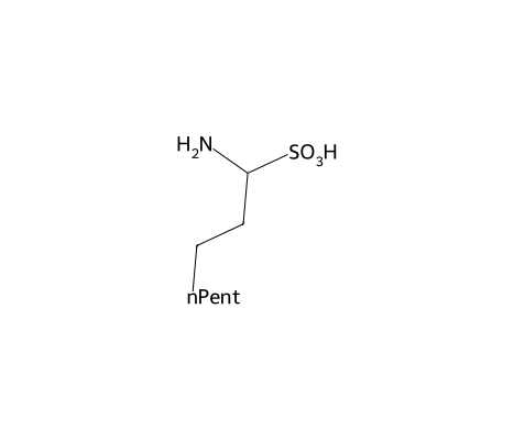 CCCCCCCC(N)S(=O)(=O)O